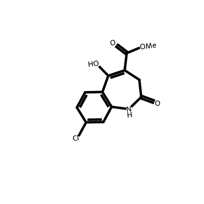 COC(=O)C1=C(O)c2ccc(Cl)cc2NC(=O)C1